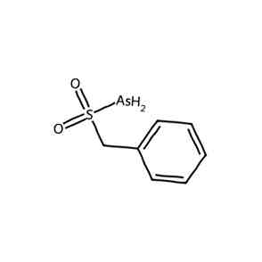 O=S(=O)([AsH2])Cc1ccccc1